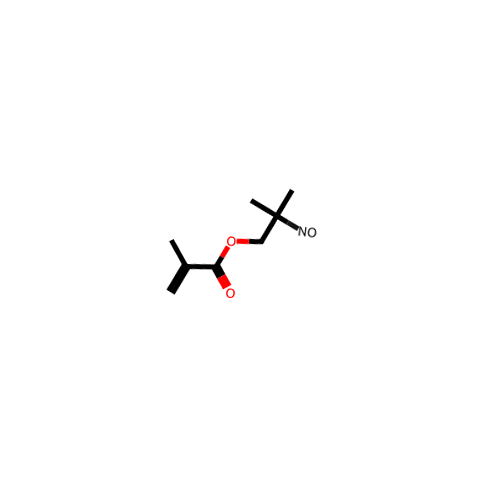 C=C(C)C(=O)OCC(C)(C)N=O